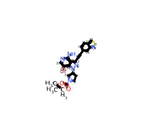 CC(C)(C)OC(=O)N1CC[C@H](n2nc(C#Cc3ccc4csnc4c3)c3c(N)ncc(Br)c32)C1